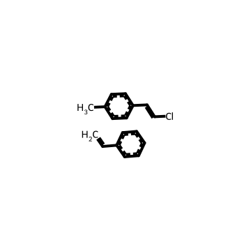 C=Cc1ccccc1.Cc1ccc(C=CCl)cc1